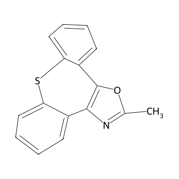 Cc1nc2c(o1)-c1ccccc1Sc1ccccc1-2